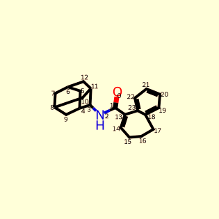 O=C(NC1C2CC3CC(C2)CC1C3)C1=CCCCc2ccccc21